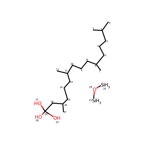 CC(C)CCCC(C)CCCC(C)CCCC(C)CC(O)(O)O.[SiH3]O[SiH3]